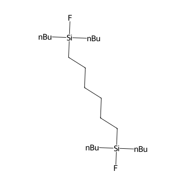 CCCC[Si](F)(CCCC)CCCCCC[Si](F)(CCCC)CCCC